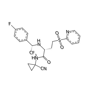 N#CC1(NC(=O)[C@@H](CCS(=O)(=O)c2ccccn2)N[C@@H](c2ccc(F)cc2)C(F)(F)F)CC1